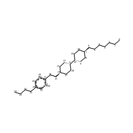 CCCCCCC[C@H]1CC[C@H]([C@H]2CC[C@H](CCc3ncc(CCCC)cn3)CC2)CC1